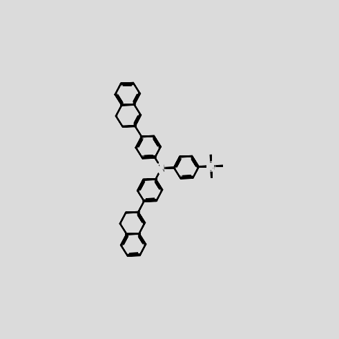 C[Si](C)(C)c1ccc(N(c2ccc(C3=Cc4ccccc4CC3)cc2)c2ccc(C3=Cc4ccccc4CC3)cc2)cc1